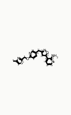 Cc1csc(COc2ccc(CC3=NOC(c4cccnc4N)C3)cn2)n1